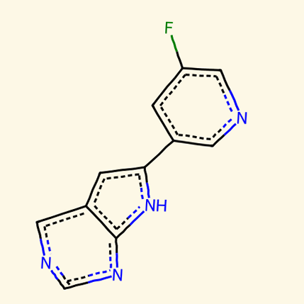 Fc1cncc(-c2cc3cncnc3[nH]2)c1